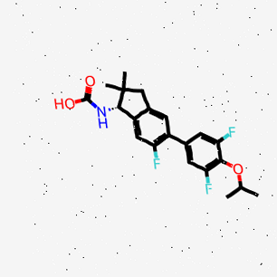 CC(C)Oc1c(F)cc(-c2cc3c(cc2F)[C@H](NC(=O)O)C(C)(C)C3)cc1F